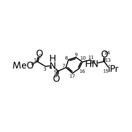 COC(=O)CNC(=O)c1ccc(CNC(=O)C(C)C)cc1